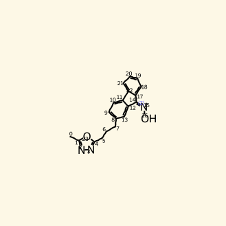 Cc1nnc(CCCc2ccc3c(c2)/C(=N\O)c2ccccc2-3)o1